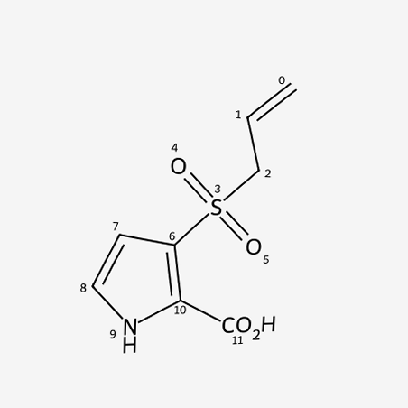 C=CCS(=O)(=O)c1cc[nH]c1C(=O)O